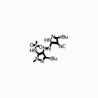 [C-]#[N+]c1c(C(C)(C)C)n[nH]c1/N=N/c1c(C(C)(C)C)nn(C)c1NS(C)(=O)=O